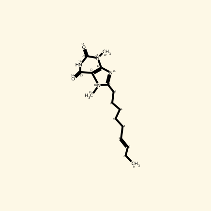 CCC=CCCCCCc1nc2c(c(=O)[nH]c(=O)n2C)n1C